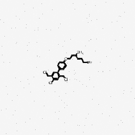 CC(C)CCCC(C)CCOc1ccc(-c2cc(CCl)c(Cl)cc2CCl)cc1